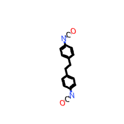 O=C=Nc1ccc(CCc2ccc(N=C=O)cc2)cc1